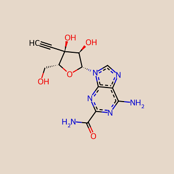 C#C[C@@]1(O)[C@@H](CO)O[C@@H](n2cnc3c(N)nc(C(N)=O)nc32)[C@@H]1O